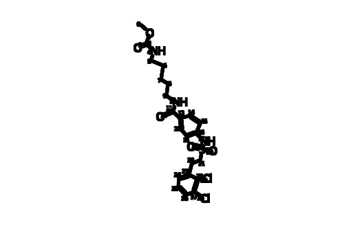 COC(=O)NCCCCCNC(=O)c1ccc(NS(=O)(=O)CCc2cccc(Cl)c2Cl)cc1